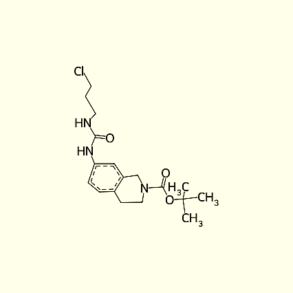 CC(C)(C)OC(=O)N1CCc2ccc(NC(=O)NCCCCl)cc2C1